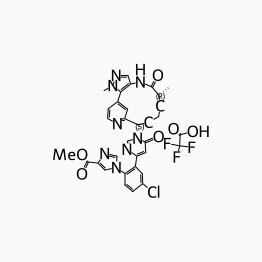 COC(=O)c1cn(-c2ccc(Cl)cc2-c2cc(=O)n([C@H]3CCC[C@@H](C)C(=O)Nc4cnn(C)c4-c4ccnc3c4)cn2)cn1.O=C(O)C(F)(F)F